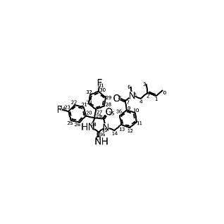 C/C=C(\C)CN(C)C(=O)c1cccc(CN2C(=N)NC(c3ccc(F)cc3)(c3ccc(F)cc3)C2=O)c1